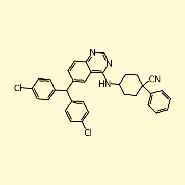 N#CC1(c2ccccc2)CCC(Nc2ncnc3ccc(C(c4ccc(Cl)cc4)c4ccc(Cl)cc4)cc23)CC1